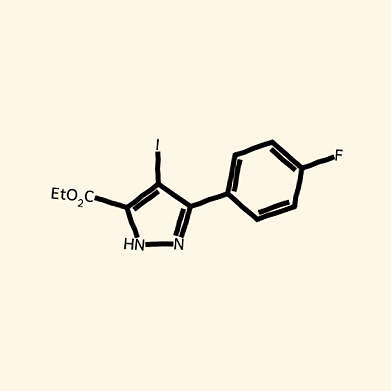 CCOC(=O)c1[nH]nc(-c2ccc(F)cc2)c1I